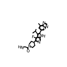 CNCC(=O)N1CCC(c2ncc3[nH]c(-c4cc(C)c5ncnn5c4)c(C(C)C)c3c2F)CC1